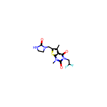 Cc1c(CN2CCNC2=O)sc2c1c(=O)n(CC(F)F)c(=O)n2C